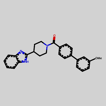 COc1cccc(-c2ccc(C(=O)N3CCC(c4nc5ccccc5[nH]4)CC3)cc2)c1